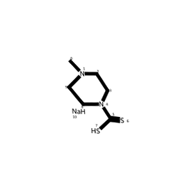 CN1CCN(C(=S)S)CC1.[NaH]